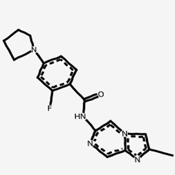 Cc1cn2cc(NC(=O)c3ccc(N4CCCC4)cc3F)ncc2n1